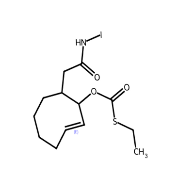 CCSC(=O)OC1/C=C/CCCCC1CC(=O)NI